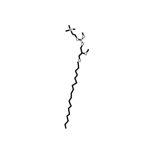 CCCCCCCCCCCCCCCCCCOCC(COP(OC)OCC[N+](C)(C)C)OC